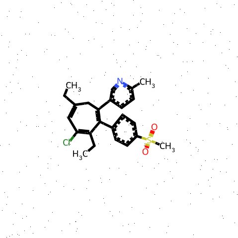 CCC1=CC(Cl)=C(CC)C(c2ccc(S(C)(=O)=O)cc2)=C(c2ccc(C)nc2)C1